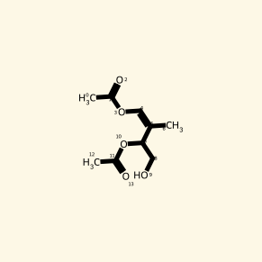 CC(=O)OC=C(C)C(CO)OC(C)=O